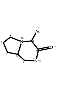 CC(=O)C1C(=O)NCC2CCCN21